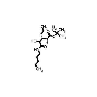 C=CCCCNC(=O)C(O)[C@H](CC=C)NC(=O)OC(C)(C)C